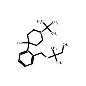 CCC(C)(C)SCc1ccccc1C1(O)CCN(C(C)(C)C)CC1